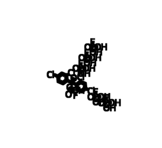 O=P(O)(F)OI(=O)(c1ccc(Cl)cc1Cl)c1ccc(Cl)cc1Cl.O=P(O)(O)F.O=P(O)(O)F.O=P(O)(O)F.O=P(O)(O)F.O=P(O)(O)F